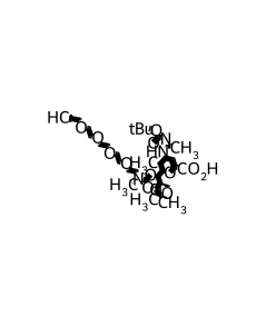 C#CCOCCOCCOCCOCCN(C)C(=O)O[C@@H]([C@H]1OC(C(=O)O)=C[C@@H](N/C(C)=N\C(=O)OC(C)(C)C)[C@@H]1C)[C@H]1COC(C)(C)O1